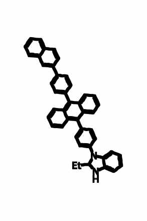 CCC1Nc2ccccc2N1c1ccc(-c2c3ccccc3c(-c3ccc(-c4ccc5ccccc5c4)cc3)c3ccccc23)cc1